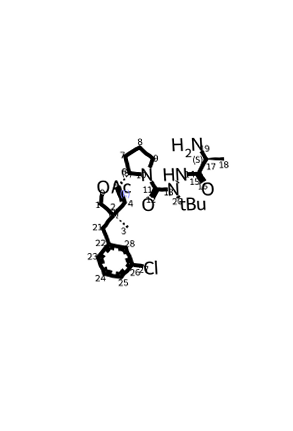 CC(=O)OC[C@@](C)(/C=C/[C@@H]1CCCN1C(=O)N(NC(=O)[C@H](C)N)C(C)(C)C)Cc1cccc(Cl)c1